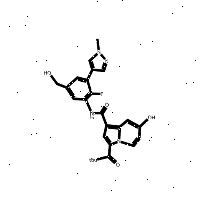 Cn1cc(-c2cc(CO)cc(NC(=O)c3cc(C(=O)C(C)(C)C)n4ccc(O)cc34)c2F)cn1